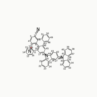 N#Cc1ccc(C#N)c(-c2c(-c3ccccc3)cc(-n3c4ccccc4c4cc(-n5c6ccccc6c6ccccc65)ccc43)cc2-c2ccccc2)c1